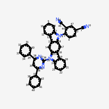 N#Cc1ccc(-n2c3ccccc3c3cc4c(cc32)c2ccccc2n4-c2nc(-c3ccccc3)cc(-c3ccccc3)n2)c(C#N)c1